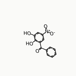 O=C(c1ccccc1)c1cc([N+](=O)[O-])cc(O)c1O